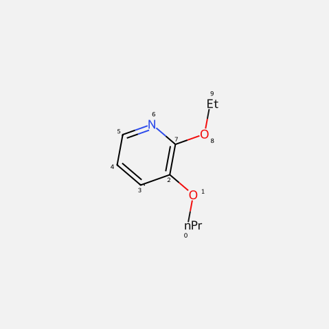 CCCOc1[c]ccnc1OCC